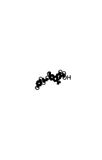 COc1ccc2c(c1)OC(COc1cc3c(cc1OC)-c1cc(=O)c(C(=O)O)cn1C(C(C)C)C3)CO2